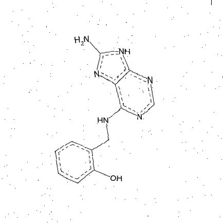 Nc1nc2c(NCc3ccccc3O)ncnc2[nH]1